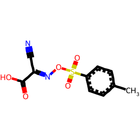 Cc1ccc(S(=O)(=O)O/N=C(\C#N)C(=O)O)cc1